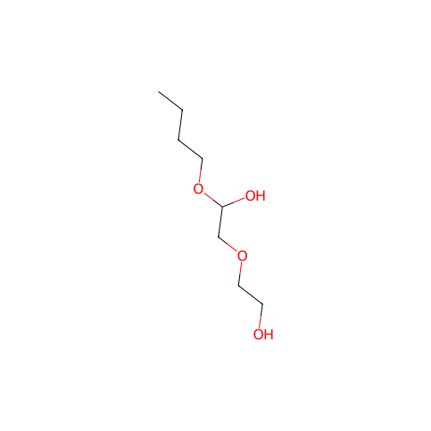 CCCCOC(O)COCCO